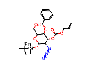 C=CCOC(=O)O[C@@H]1C(N=[N+]=[N-])[C@H](O[Si](C)(C)C(C)(C)C(C)C)OC(CO)[C@H]1OCc1ccccc1